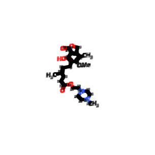 COc1c(C)c2c(c(O)c1CC=C(C)CCC(=O)OCCN1CCN(C)CC1)C(=O)OC2